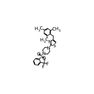 Cc1cc(C)c(Cc2csc(N3CCN(S(=O)(=O)c4ccccc4C(F)(F)F)CC3)n2)c(C)c1